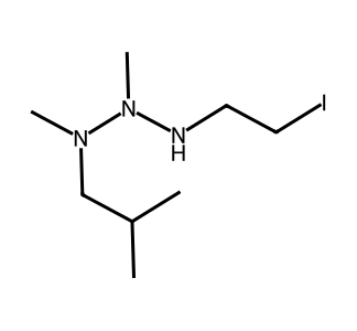 CC(C)CN(C)N(C)NCCI